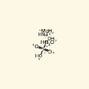 O.O.O=S(=O)(O)O.[MgH2].[NaH]